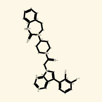 O=C(Cn1cc(-c2cccc(F)c2F)c2cncnc21)N1CCC(N2CCc3ccccc3NC2=O)CC1